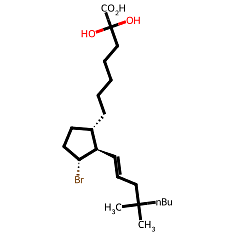 CCCCC(C)(C)C/C=C/[C@@H]1[C@@H](CCCCCC(O)(O)C(=O)O)CC[C@H]1Br